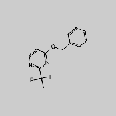 CC(F)(F)c1nccc(OCc2ccccc2)n1